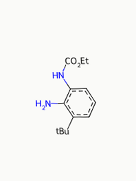 CCOC(=O)Nc1cccc(C(C)(C)C)c1N